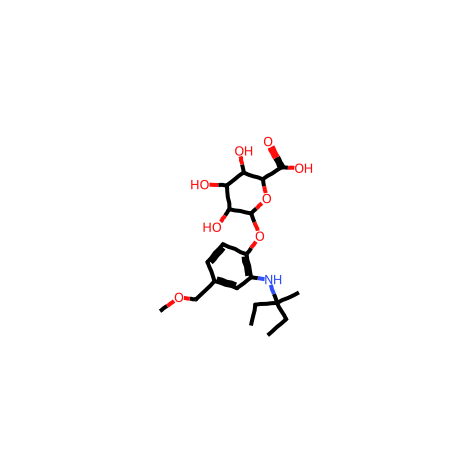 CCC(C)(CC)Nc1cc(COC)ccc1OC1OC(C(=O)O)C(O)C(O)C1O